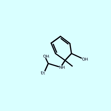 CCC(O)NC1(C)C=CC=CC1O